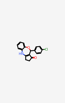 O=C1CCC2=C1C(c1ccc(Cl)cc1)Oc1ccccc1N2